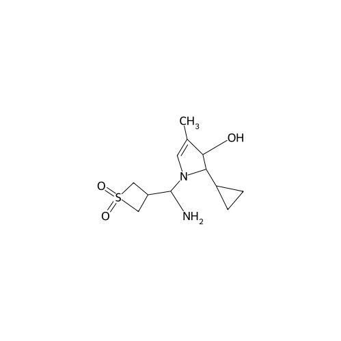 CC1=CN(C(N)C2CS(=O)(=O)C2)C(C2CC2)C1O